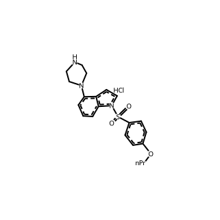 CCCOc1ccc(S(=O)(=O)n2ccc3c(N4CCNCC4)cccc32)cc1.Cl